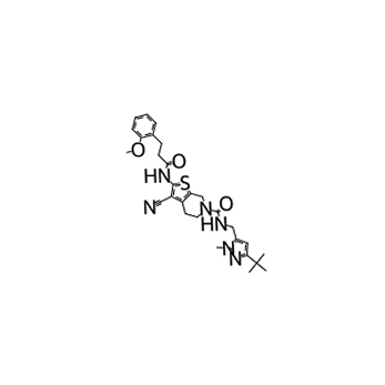 COc1ccccc1CCC(=O)Nc1sc2c(c1C#N)CCN(C(=O)NCc1cc(C(C)(C)C)nn1C)C2